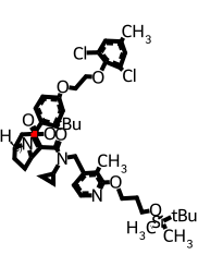 Cc1cc(Cl)c(OCCOc2ccc(C3=C(C(=O)N(Cc4ccnc(OCCCO[Si](C)(C)C(C)(C)C)c4C)C4CC4)C4CC[C@@H](C3)N4C(=O)OC(C)(C)C)cc2)c(Cl)c1